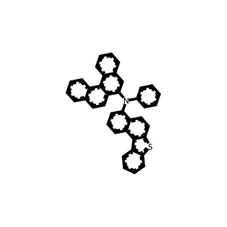 c1ccc(N(c2cccc3c2ccc2sc4ccccc4c23)c2cc3ccccc3c3c2ccc2ccccc23)cc1